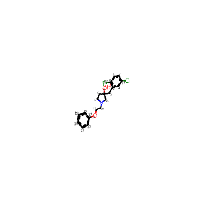 OC1(Cc2cc(Cl)ccc2F)CCN(CCOc2ccccc2)C1